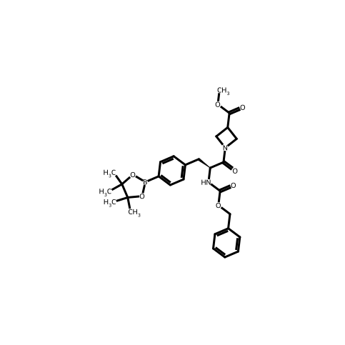 COC(=O)C1CN(C(=O)[C@H](Cc2ccc(B3OC(C)(C)C(C)(C)O3)cc2)NC(=O)OCc2ccccc2)C1